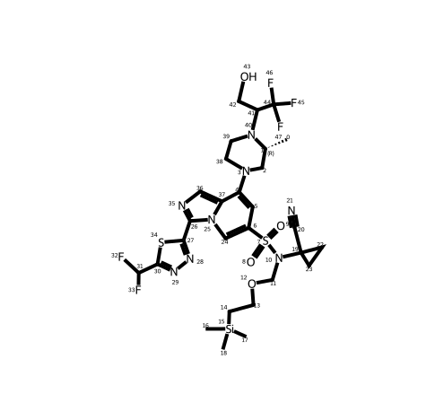 C[C@@H]1CN(c2cc(S(=O)(=O)N(COCC[Si](C)(C)C)C3(C#N)CC3)cn3c(-c4nnc(C(F)F)s4)ncc23)CCN1C(CO)C(F)(F)F